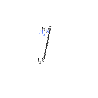 CC=C(N)CCCCCCCCCCCCCCCCCC